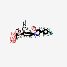 Cc1cc(-n2ccc(-c3ccc(C(F)(F)F)cc3)cc2=O)ccc1OCC(C)(O)CO